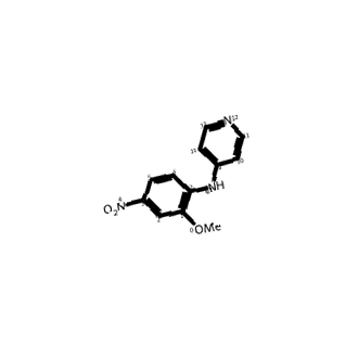 COc1cc([N+](=O)[O-])ccc1Nc1ccncc1